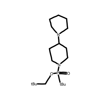 CC(C)(C)COP(=O)(N1CCC(N2CCCCC2)CC1)C(C)(C)C